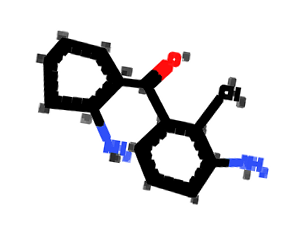 Cc1c(N)cccc1C(=O)c1ccccc1N